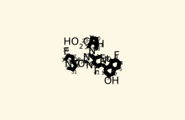 CCc1c(F)ccc2cc(O)cc(-c3ncc4c(N5C[C@H]6CC[C@@]6(C(=O)O)C5)nc(OC[C@@]56CCCN5C[C@H](F)C6)nc4c3F)c12